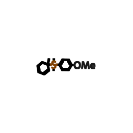 COc1ccc(S(C)(C)C2(C)C=CC=CC2)cc1